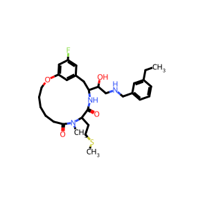 CCc1cccc(CNCC(O)C2Cc3cc(F)cc(c3)OCCCCCC(=O)N(C)C(CCSC)C(=O)N2)c1